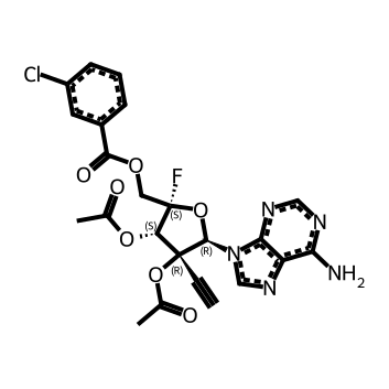 C#C[C@]1(OC(C)=O)[C@H](n2cnc3c(N)ncnc32)O[C@](F)(COC(=O)c2cccc(Cl)c2)[C@H]1OC(C)=O